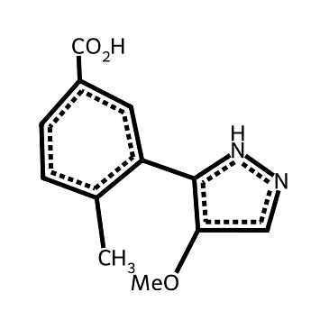 COc1cn[nH]c1-c1cc(C(=O)O)ccc1C